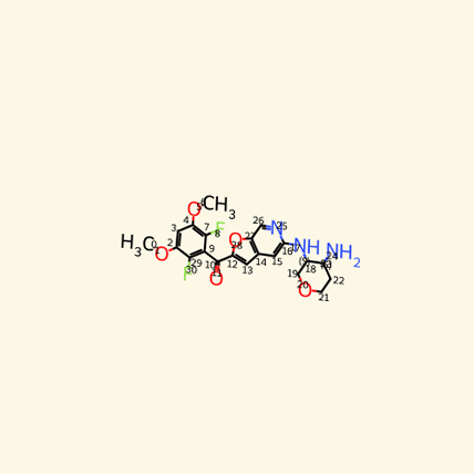 COc1cc(OC)c(F)c(C(=O)c2cc3cc(N[C@@H]4COCC[C@@H]4N)ncc3o2)c1F